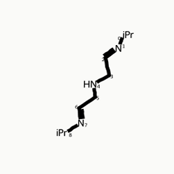 CC(C)N=CCNCC=NC(C)C